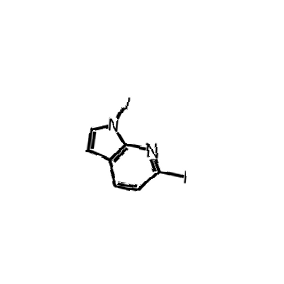 Ic1ccc2ccn(I)c2n1